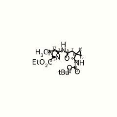 CCOC(=O)c1nc(NC(=O)CC2(CNC(=O)OC(C)(C)C)CC2)cn1C